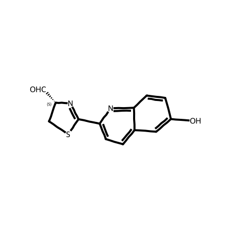 O=C[C@H]1CSC(c2ccc3cc(O)ccc3n2)=N1